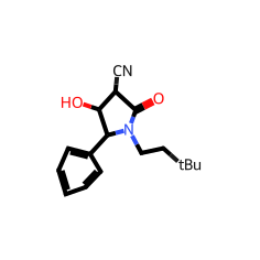 CC(C)(C)CCN1C(=O)C(C#N)C(O)C1c1ccccc1